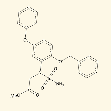 COC(=O)CN(c1cc(Oc2ccccc2)ccc1OCc1ccccc1)S(N)(=O)=O